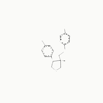 C[C@@]1(COc2ccc(Cl)cn2)CNC[C@H]1c1ccc(Cl)cc1